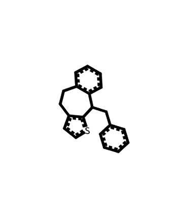 c1ccc(CC2c3ccccc3CCc3ccsc32)cc1